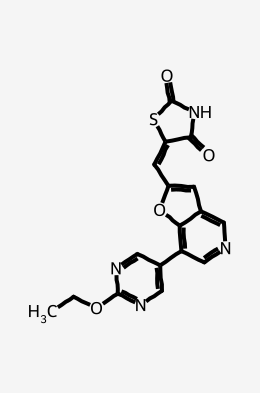 CCOc1ncc(-c2cncc3cc(C=C4SC(=O)NC4=O)oc23)cn1